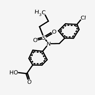 CCCS(=O)(=O)N(Cc1ccc(Cl)cc1)c1ccc(C(=O)O)cc1